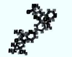 Cn1c(=O)n(CC(C)(C)C)c2ccc(C3CCC(C)(C)C(n4nc(C(N)=O)cc4-c4ccncc4)C3)nc21